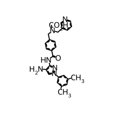 Cc1cc(C)cc(-n2cc(N)c(NC(=O)c3ccc(CN(Cc4cccnc4)C(=O)O)cc3)n2)c1